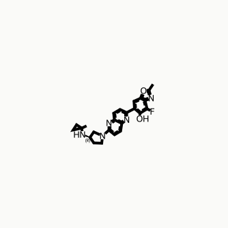 Cc1nc2c(F)c(O)c(-c3ccc4nc(N5CC[C@@H](NC6(C)CC6)C5)ccc4n3)cc2o1